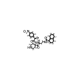 O=C(NC1(C(=O)NCCNC(=O)c2cccc3ccccc23)CCNCC1)C(=O)c1ccc([N+](=O)[O-])cc1